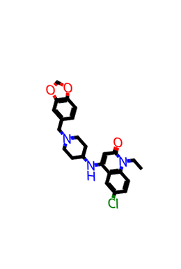 CCn1c(=O)cc(NC2CCN(Cc3ccc4c(c3)OCO4)CC2)c2cc(Cl)ccc21